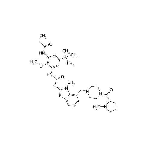 CCC(=O)Nc1cc(C(C)(C)C)cc(NC(=O)Oc2cc3cccc(CN4CCN(C(=O)[C@@H]5CCCN5C)CC4)c3n2C)c1OC